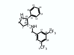 FC(F)(F)c1cc(CN[C@@H]2CCN[C@H]2c2ccccc2)cc(C(F)(F)F)c1